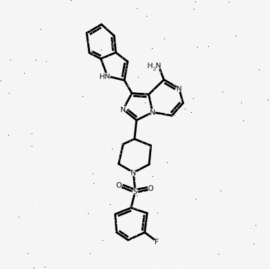 Nc1nccn2c(C3CCN(S(=O)(=O)c4cccc(F)c4)CC3)nc(-c3cc4ccccc4[nH]3)c12